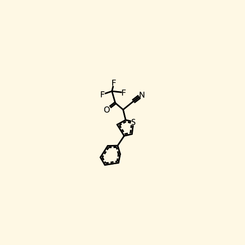 N#CC(C(=O)C(F)(F)F)c1cc(-c2ccccc2)cs1